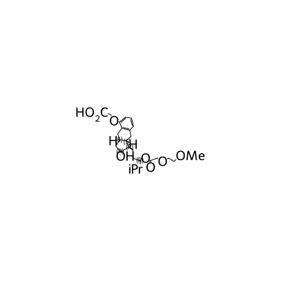 COCCOCC(=O)O[C@H](CC[C@@H]1[C@H]2Cc3cccc(OCC(=O)O)c3C[C@H]2C[C@H]1O)C(C)C